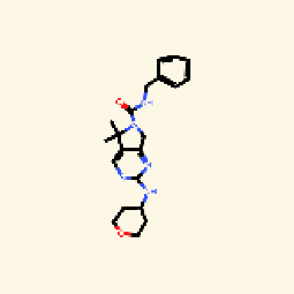 CC1(C)C2=CNC(NC3CCOCC3)N=C2CN1C(=O)NCc1ccccc1